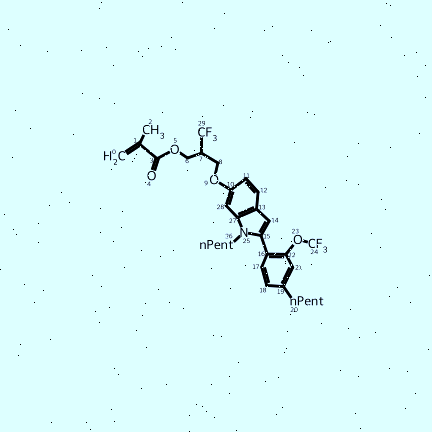 C=C(C)C(=O)OCC(COc1ccc2cc(-c3ccc(CCCCC)cc3OC(F)(F)F)n(CCCCC)c2c1)C(F)(F)F